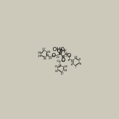 O=CC[C@H](OCc1ccccc1)[C@@H](OCc1ccccc1)[C@H](O)COCc1ccccc1